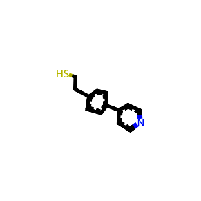 SCCc1ccc(-c2ccncc2)cc1